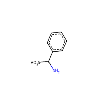 N[C](c1ccccc1)S(=O)(=O)O